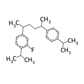 CC(C)c1ccc(C(C)CCC(C)c2ccc(C(C)C)c(F)c2)cc1